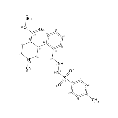 Cc1ccc(S(=O)(=O)NNCc2ccccc2C2CN(C#N)CCN2C(=O)OC(C)(C)C)cc1